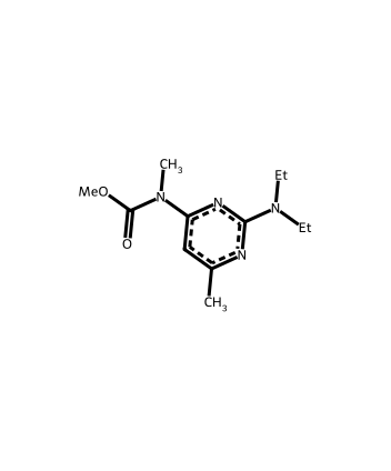 CCN(CC)c1nc(C)cc(N(C)C(=O)OC)n1